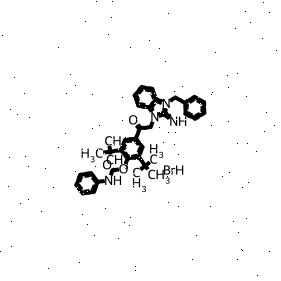 Br.CC(C)(C)c1cc(C(=O)Cn2c(=N)n(Cc3ccccc3)c3ccccc32)cc(C(C)(C)C)c1OC(=O)Nc1ccccc1